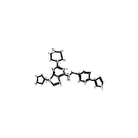 c1cc(-c2ccc(CNc3nc(N4CCOCC4)nc4c3ncn4C3CCCC3)cn2)cs1